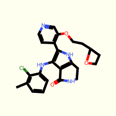 Cc1cccc(Nc2c(-c3ccncc3OCCC3CCO3)[nH]c3c2C(=O)NCC3)c1Cl